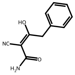 N#CC(C(N)=O)=C(O)Cc1ccccc1